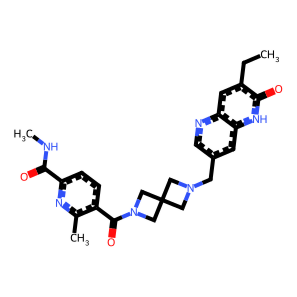 CCc1cc2ncc(CN3CC4(C3)CN(C(=O)c3ccc(C(=O)NC)nc3C)C4)cc2[nH]c1=O